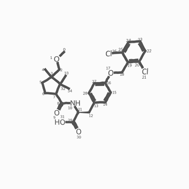 COCC1(C)CCC(C(=O)N[C@@H](Cc2ccc(OCc3c(Cl)cccc3Cl)cc2)C(=O)O)C1(C)C